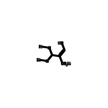 CCOC(=O)C(=CO)C(OCC)OCC